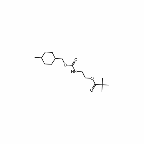 CC1CCC(COC(=O)NCCOC(=O)C(C)(C)C)CC1